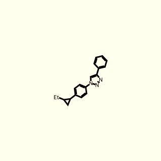 CCC1CC1c1ccc(-n2cc(-c3ccccc3)nn2)cc1